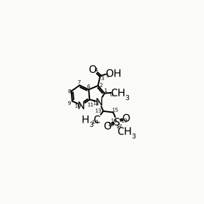 Cc1c(C(=O)O)c2cccnc2n1C(C)CS(C)(=O)=O